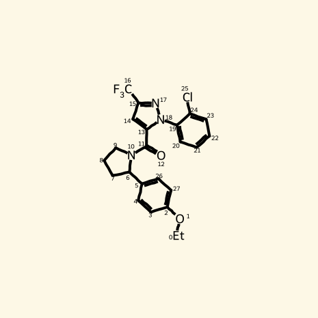 CCOc1ccc(C2CCCN2C(=O)c2cc(C(F)(F)F)nn2-c2ccccc2Cl)cc1